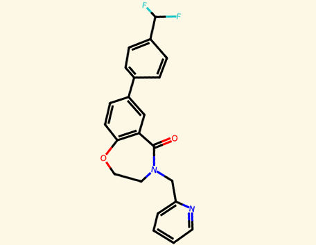 O=C1c2cc(-c3ccc(C(F)F)cc3)ccc2OCCN1Cc1ccccn1